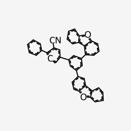 N#Cc1cc(-c2cc(-c3ccc4oc5ccccc5c4c3)cc(-c3cccc4oc5ccccc5c34)c2)ccc1-c1ccccc1